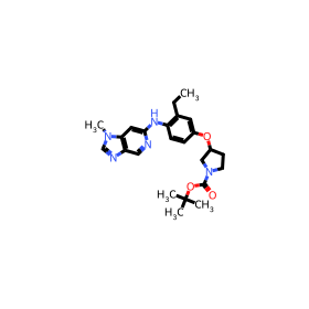 CCc1cc(OC2CCN(C(=O)OC(C)(C)C)C2)ccc1Nc1cc2c(cn1)ncn2C